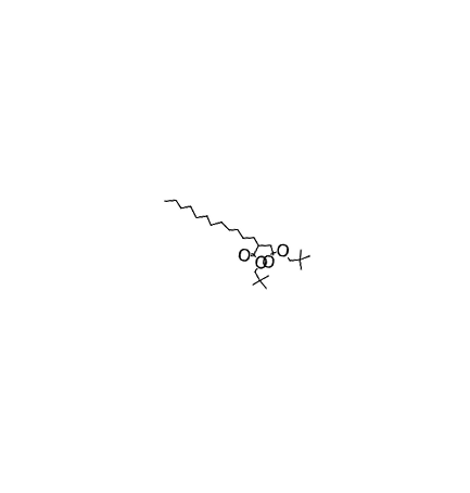 CCCCCCCCCCCCC(CC(=O)OCC(C)(C)C)C(=O)OCC(C)(C)C